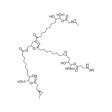 CCCCCCCCC(OC(=O)CCN1CC1C)C(O)CCCCCCCC(=O)OCC(COC(=O)CCCCCCCC(O)C(CCCCCCCC)OC(=O)CN1CC1C)OC(=O)CCCCCCCC1OC1CC(O)C(CCCCC)OC(=O)CCNCCC